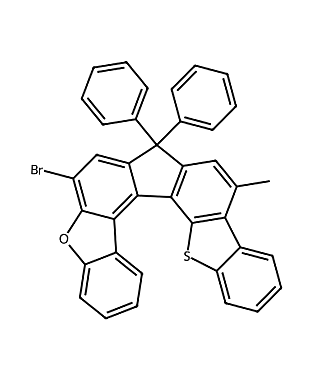 Cc1cc2c(c3sc4ccccc4c13)-c1c(cc(Br)c3oc4ccccc4c13)C2(c1ccccc1)c1ccccc1